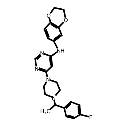 CC(c1ccc(F)cc1)N1CCN(c2cc(Nc3ccc4c(c3)OCCO4)ncn2)CC1